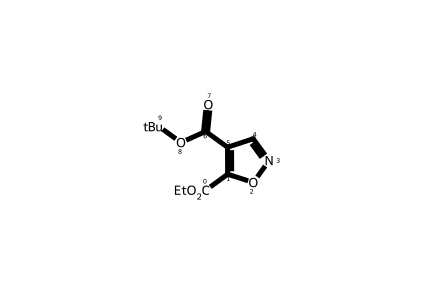 CCOC(=O)c1oncc1C(=O)OC(C)(C)C